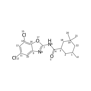 CC1CC(C(=O)Nc2nc3cc(Cl)cc(Cl)c3o2)CC(C)(C)C1